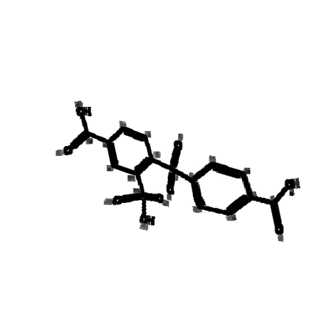 O=C(O)c1ccc(S(=O)(=O)c2ccc(C(=O)O)cc2S(=O)(=O)O)cc1